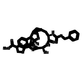 COC(=O)C1COC(c2nc3oc2[C@@]24c5ccccc5N[C@@H]2Oc2ccc(cc24)C[C@H](NC(=O)OCc2ccccc2)C(=O)N[C@H]3C(C)(C)C)=N1